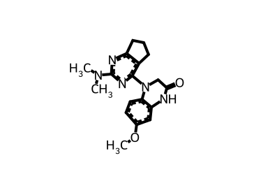 COc1ccc2c(c1)NC(=O)CN2c1nc(N(C)C)nc2c1CCC2